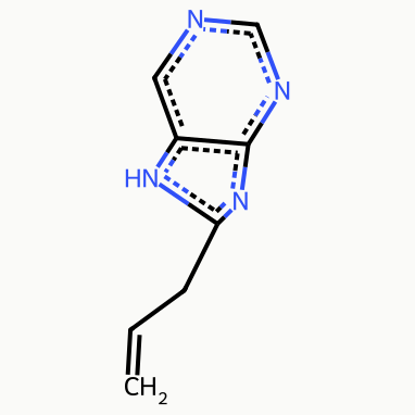 C=CCc1nc2ncncc2[nH]1